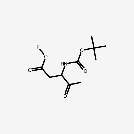 CC(=O)C(CC(=O)OF)NC(=O)OC(C)(C)C